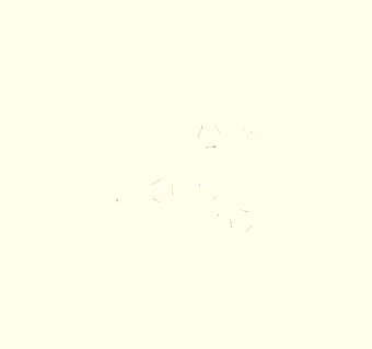 CCCOc1ccc(C2C(C(=O)O)C(c3cc(OC)c4c(c3)OCO4)CN2CC(=O)Nc2c(CC)cccc2CC)cc1